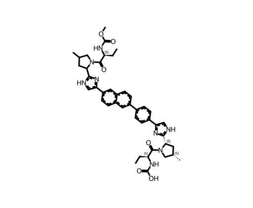 CC[C@H](NC(=O)OC)C(=O)N1CC(C)CC1c1nc(-c2ccc3cc(-c4ccc(-c5c[nH]c([C@@H]6C[C@H](C)CN6C(=O)[C@H](CC)NC(=O)O)n5)cc4)ccc3c2)c[nH]1